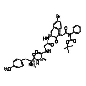 C[C@@H](NC(=O)[C@@H](N)Cc1ccc(O)cc1)C(=O)NCC(=O)N[C@@H](Cc1cccc(Br)c1)C(=O)NCC(=O)N(C(=O)OC(C)(C)C)c1ccccc1